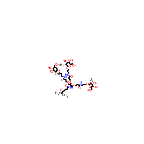 CC(C)C(=O)CCCC(=O)NC(COCCC(=O)NCCCO[C@@H]1OC(CO)[C@H](O)[C@H](O)C1C)(COCCC(=O)NCCCO[C@@H]1OC(CO)[C@H](O)[C@H](O)C1C)COCCC(=O)NCCCO[C@@H]1CC(CO)[C@H](O)[C@H](O)C1C